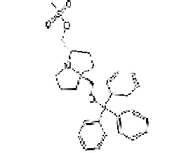 CS(=O)(=O)OC[C@@H]1CC[C@]2(COC(c3ccccc3)(c3ccccc3)c3ccccc3)CCCN12